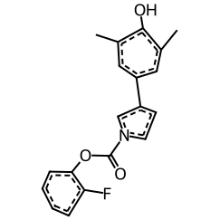 Cc1cc(-c2ccn(C(=O)Oc3ccccc3F)c2)cc(C)c1O